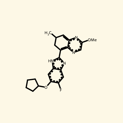 COc1cnc2c(n1)=CC(C)CC=2c1nc2cc(F)c(OC3CCCC3)cc2[nH]1